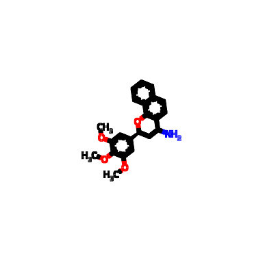 COc1cc([C@@H]2CC(N)c3ccc4ccccc4c3O2)cc(OC)c1OC